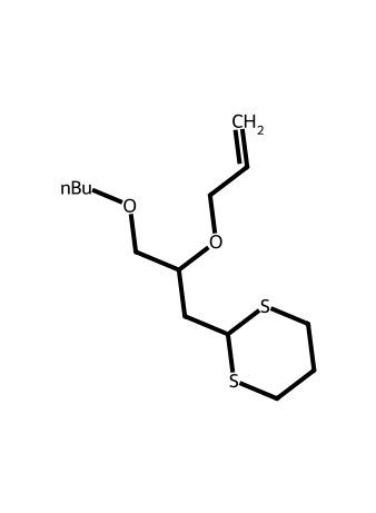 C=CCOC(COCCCC)CC1SCCCS1